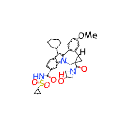 COc1ccc2c(c1)[C@@H]1C[C@]1(C(=O)N1CC(O)C1)Cn1c-2c(C2CCCCC2)c2ccc(C(=O)NS(=O)(=O)C3CC3)cc21